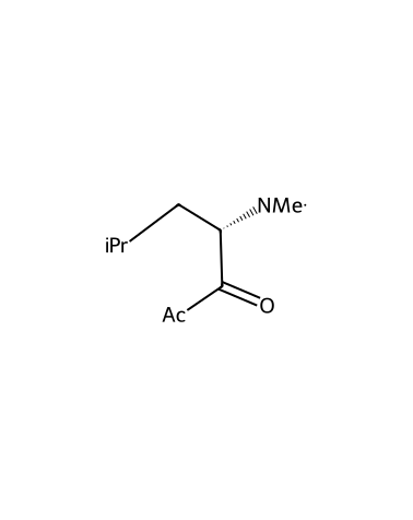 C[N][C@@H](CC(C)C)C(=O)C(C)=O